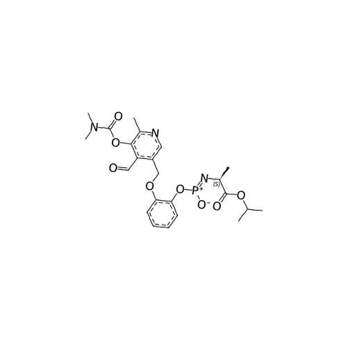 Cc1ncc(COc2ccccc2O[P+]([O-])=N[C@@H](C)C(=O)OC(C)C)c(C=O)c1OC(=O)N(C)C